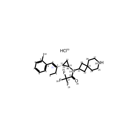 CC/C(=C\c1ccccc1I)[C@@H]1C[C@H]1N(C(=O)C(F)(F)F)C1CC2(CCNCC2)C1.Cl